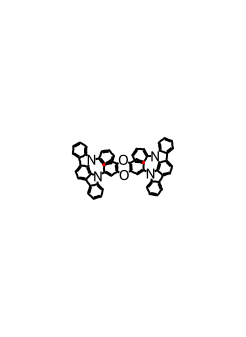 c1ccc(-n2c3ccccc3c3ccc4c5ccccc5n(-c5ccc6c(c5)Oc5cc(-n7c8ccccc8c8ccc9c%10ccccc%10n(-c%10ccccc%10)c9c87)ccc5O6)c4c32)cc1